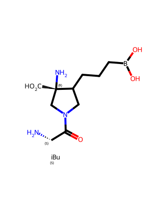 CC[C@H](C)[C@H](N)C(=O)N1CC(CCCB(O)O)[C@](N)(C(=O)O)C1